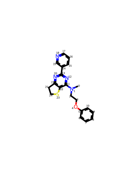 CN(CCOc1ccccc1)c1nc(-c2cccnc2)nc2c1SCC2